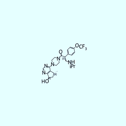 CC(C)NC[C@@H](C(=O)N1CCN(c2ncnc3c2[C@H](C)C[C@H]3O)CC1)c1ccc(OC(F)(F)F)cc1